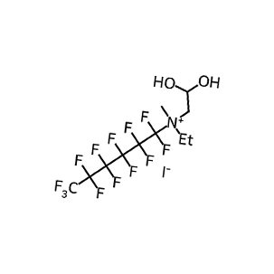 CC[N+](C)(CC(O)O)C(F)(F)C(F)(F)C(F)(F)C(F)(F)C(F)(F)C(F)(F)F.[I-]